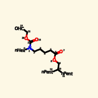 CCCCCCN(CCCCC(=O)OCC(CCCCC)CCCCC)C(=O)OCC=O